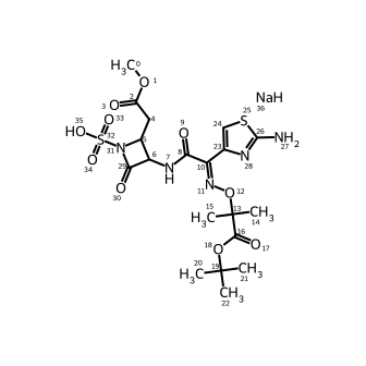 COC(=O)CC1C(NC(=O)/C(=N/OC(C)(C)C(=O)OC(C)(C)C)c2csc(N)n2)C(=O)N1S(=O)(=O)O.[NaH]